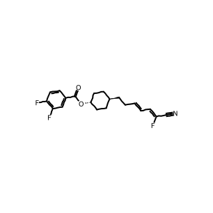 N#C/C(F)=C/C=C/CC[C@H]1CC[C@H](OC(=O)c2ccc(F)c(F)c2)CC1